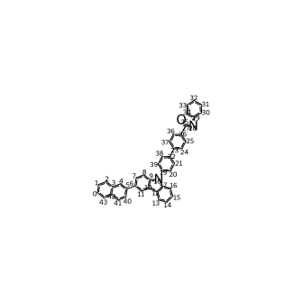 c1ccc2cc(-c3ccc4c(c3)c3ccccc3n4-c3ccc(-c4ccc(-c5nc6ccccc6o5)cc4)cc3)ccc2c1